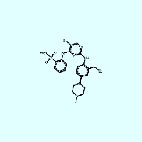 CCOc1cc(N2CCN(C)CC2)ccc1Nc1ncc(Br)c(Nc2ccccc2S(=O)(=O)NC)n1